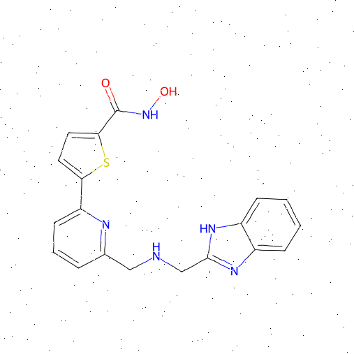 O=C(NO)c1ccc(-c2cccc(CNCc3nc4ccccc4[nH]3)n2)s1